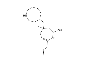 CCCC1=CCC(C)(CC2CCCCNCC2)CC(O)N1